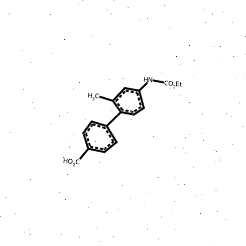 CCOC(=O)Nc1ccc(-c2ccc(C(=O)O)cc2)c(C)c1